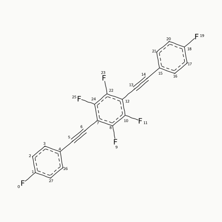 Fc1ccc(C#Cc2c(F)c(F)c(C#Cc3ccc(F)cc3)c(F)c2F)cc1